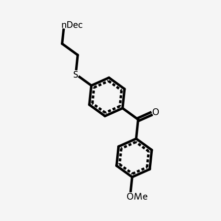 CCCCCCCCCCCCSc1ccc(C(=O)c2ccc(OC)cc2)cc1